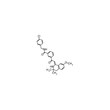 COc1ccc2c(c1)C(=CC(=O)c1cccc(C(=O)NCc3ccc(Cl)cc3)c1)NC(C)(C)C2